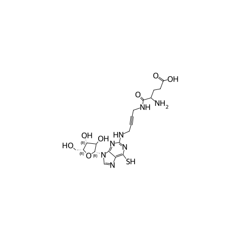 NC(CCC(=O)O)C(=O)NCC#CCNc1nc(S)c2ncn([C@@H]3O[C@H](CO)[C@H](O)C3O)c2n1